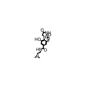 CN(C)CCNC(=O)c1cc(O)c(N2CC(=O)NS2(=O)=O)c(F)c1